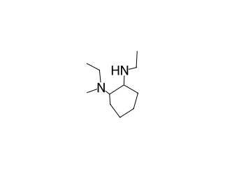 CCNC1CCCCC1N(C)CC